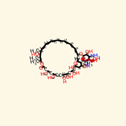 C[C@@H]1[C@H](O)[C@@H](C)/C=C/C=C/C=C/C=C/C=C/C=C/C=C/[C@H](O[C@@H]2O[C@H](C)[C@@H](O)[C@H](N)[C@H]2O)C[C@@H]2O[C@](O)(C[C@@H](O)C[C@@H](O)[C@H](O)CC[C@@H](O)C[C@@H](O)CC(=O)O[C@H]1C)C[C@H](O)[C@H]2C(=O)NCCO